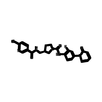 O=C(NC[C@H]1CCN(C(=O)Nc2ccc(-n3ccccc3=O)cc2F)C1)c1ccc(Cl)nc1